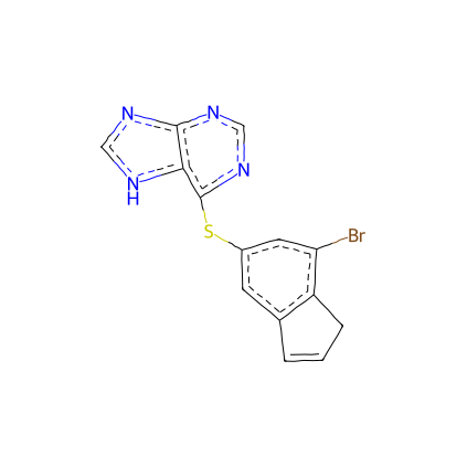 Brc1cc(Sc2ncnc3nc[nH]c23)cc2c1CC=C2